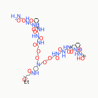 CCOC(C)(C)CCC(=O)NC1CCC(N(CCOCCOCCC(=O)NCC(=O)NCC(=O)N[C@@H](Cc2ccccc2)C(=O)NCC(=O)NCOCC(N)=O)CCOCCOCCC(=O)NCC(=O)NCC(=O)N[C@@H](Cc2ccccc2)C(=O)NCC(=O)NC[C@H](C)O)CC1